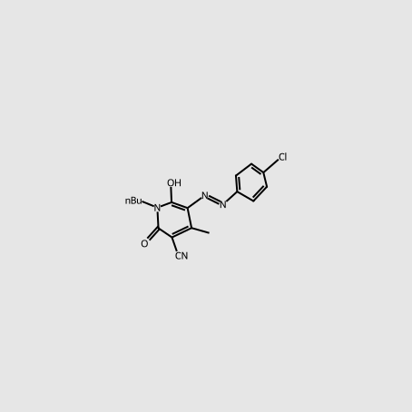 CCCCn1c(O)c(N=Nc2ccc(Cl)cc2)c(C)c(C#N)c1=O